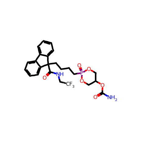 NC(=O)OC1COP(=O)(CCCCC2(C(=O)NCC(F)(F)F)c3ccccc3-c3ccccc32)OC1